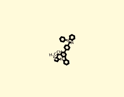 CC1(C)c2sccc2-n2c3ccccc3c3cc(-c4ccc(-c5nc6ccccc6n5-c5ccccc5)cc4)cc1c32